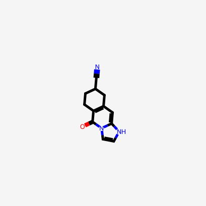 N#CC1CCc2c(cc3[nH]ccn3c2=O)C1